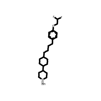 CCC[SiH]1CCC(C2CCC(CCCCc3ccc(OCC(F)F)cc3)CC2)CC1